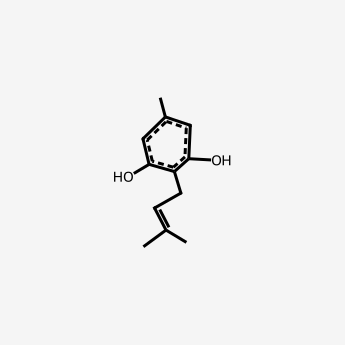 CC(C)=CCc1c(O)cc(C)cc1O